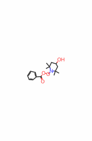 CC1(C)CC(O)CC(C)(C)N1OOC(=O)c1ccccc1